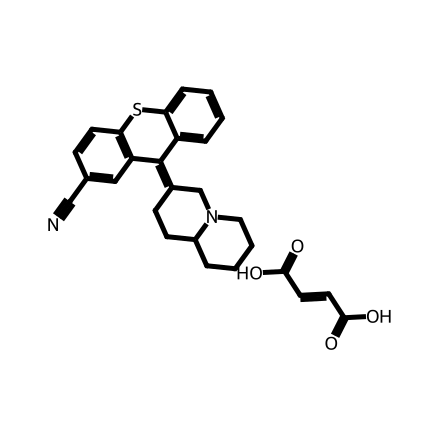 N#Cc1ccc2c(c1)C(=C1CCC3CCCCN3C1)c1ccccc1S2.O=C(O)C=CC(=O)O